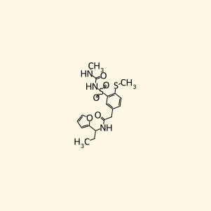 CCC(NC(=O)Cc1ccc(SC)c(S(=O)(=O)NC(=O)NC)c1)c1ccco1